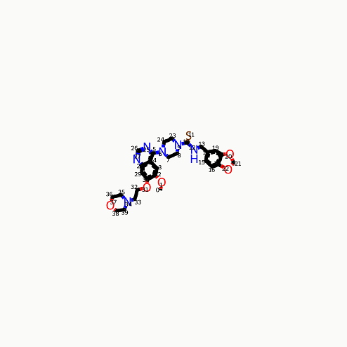 COc1cc2c(N3CCN(C(=S)NCc4ccc5c(c4)OCO5)CC3)ncnc2cc1OCCN1CCOCC1